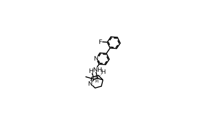 C[C@@H]1[C@@H](Nc2ccc(-c3ccccc3F)cn2)C2CCN1CC2